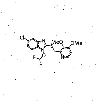 COc1ccnc(CSc2nc3cc(Cl)ccc3n2OC(F)F)c1OC